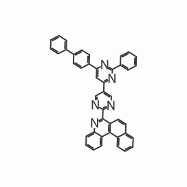 c1ccc(-c2ccc(-c3cc(-c4cnc(-c5nc6ccccc6c6c5ccc5ccccc56)nc4)nc(-c4ccccc4)n3)cc2)cc1